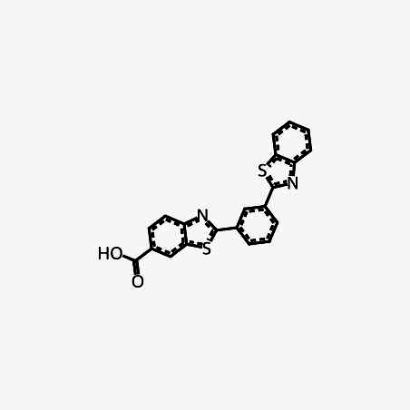 O=C(O)c1ccc2nc(-c3cccc(-c4nc5ccccc5s4)c3)sc2c1